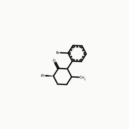 CC1CC[C@@H](C(C)C)C(=O)C1c1ccccc1Br